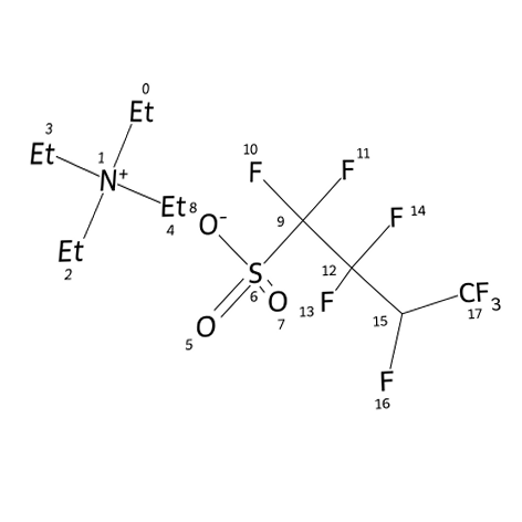 CC[N+](CC)(CC)CC.O=S(=O)([O-])C(F)(F)C(F)(F)C(F)C(F)(F)F